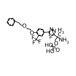 CC(N)(COP(=O)(O)O)c1nnc(-c2ccc(OCCOCCc3ccccc3)c(C(F)(F)F)c2)s1